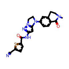 CN1CCc2cc(N3CCn4nc(NC(=O)c5ccc(C#N)s5)cc43)ccc2C1=O